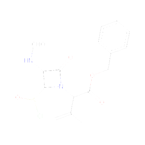 C=C(C)C(C(=O)OCc1ccccc1)N1C(=O)C(NC=O)C1[S+]([O-])Cl